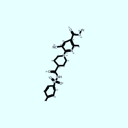 Cc1ccc(S(=O)(=O)NC(=O)C2CCN(c3nc(C)c(C(=O)OC(C)C)cc3C#N)CC2)cc1